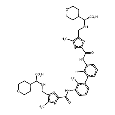 Cc1nc(C(=O)Nc2cccc(-c3cccc(NC(=O)c4nc(C)c(CN[C@H](C(=O)O)C5CCOCC5)s4)c3Cl)c2C)sc1CN[C@H](C(=O)O)C1CCOCC1